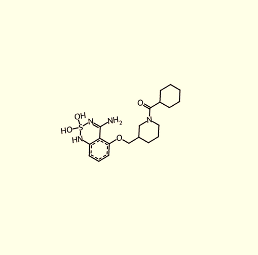 NC1=NS(O)(O)Nc2cccc(OCC3CCCN(C(=O)C4CCCCC4)C3)c21